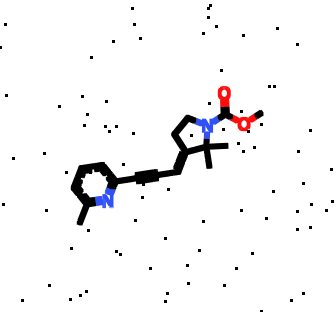 COC(=O)N1CC/C(=C\C#Cc2cccc(C)n2)C1(C)C